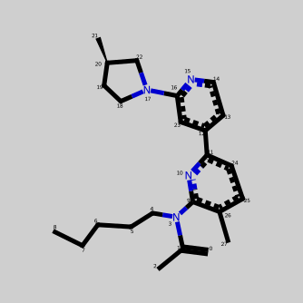 C=C(C)N(CCCCC)c1nc(-c2ccnc(N3CC[C@@H](C)C3)c2)ccc1C